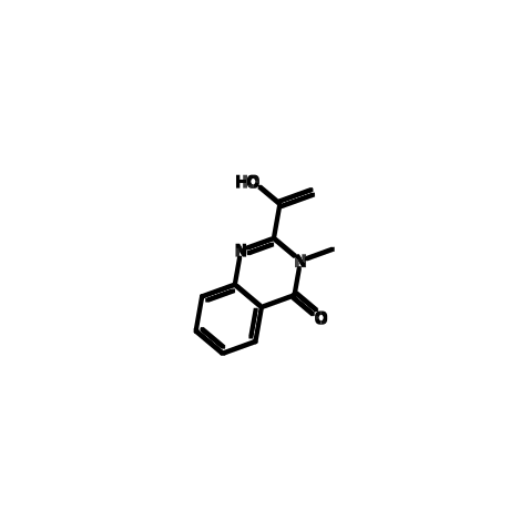 C=C(O)c1nc2ccccc2c(=O)n1C